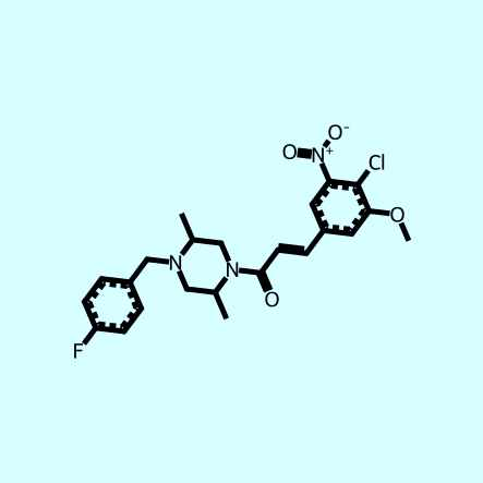 COc1cc(/C=C/C(=O)N2CC(C)N(Cc3ccc(F)cc3)CC2C)cc([N+](=O)[O-])c1Cl